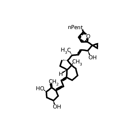 C=C1/C(=C\C=C2/CCC[C@]3(C)[C@@H]([C@H](C)/C=C/[C@H](O)C4(c5ccc(CCCCC)o5)CC4)CC[C@@H]23)C[C@@H](O)C[C@@H]1O